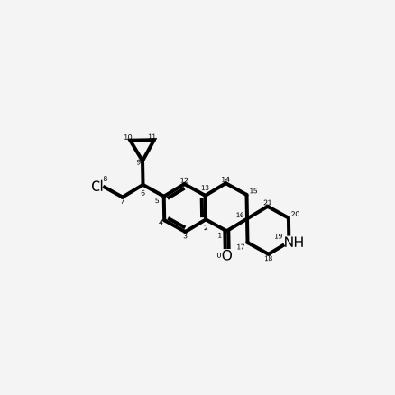 O=C1c2ccc(C(CCl)C3CC3)cc2CCC12CCNCC2